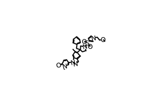 COCCn1ccc(S(=O)(=O)N2CCC(Cc3ccccc3)(c3cc4cnn(-c5ccc(=O)n(C)c5)c4cc3C)C2)c1